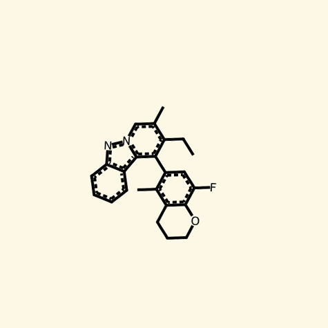 CCc1c(C)cn2nc3ccccc3c2c1-c1cc(F)c2c(c1C)CCCO2